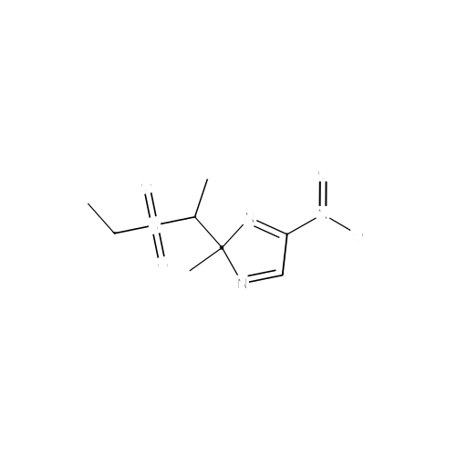 CCS(=O)(=O)C(C)C1(C)N=[C]C([N+](=O)[O-])=N1